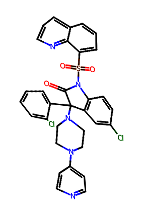 O=C1N(S(=O)(=O)c2cccc3cccnc23)c2ccc(Cl)cc2C1(c1ccccc1Cl)N1CCN(c2ccncc2)CC1